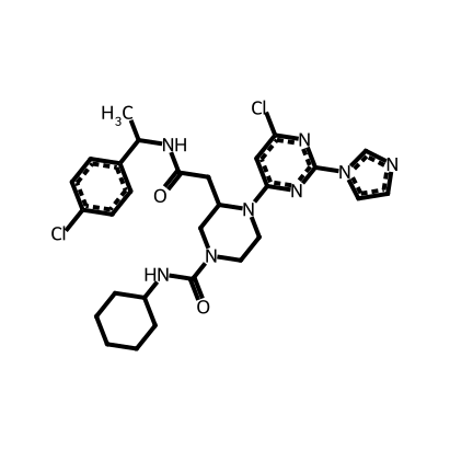 CC(NC(=O)CC1CN(C(=O)NC2CCCCC2)CCN1c1cc(Cl)nc(-n2ccnc2)n1)c1ccc(Cl)cc1